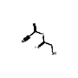 C=C(C#N)SC(=N)CS